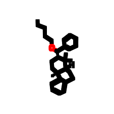 CCCCCOC(c1ccccc1)[C@H]1CC[C@]2(C)c3ccccc3CC[C@H]2C1(C)C